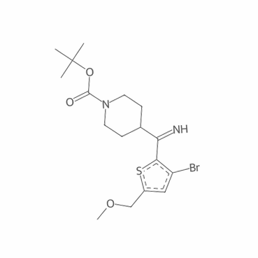 COCc1cc(Br)c(C(=N)C2CCN(C(=O)OC(C)(C)C)CC2)s1